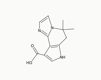 CC1(C)Cc2[nH]cc(C(=O)O)c2-c2nccn21